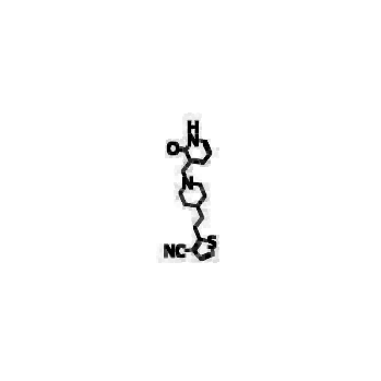 N#Cc1ccsc1CCC1CCN(Cc2ccc[nH]c2=O)CC1